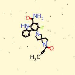 CC#CC(=O)N1CCC2(CCN(c3c(F)cc(C(N)=O)c4[nH]c5ccccc5c34)C2)C1